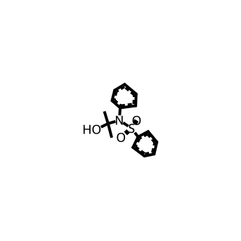 CC(C)(O)N(c1ccccc1)S(=O)(=O)c1ccccc1